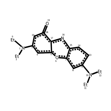 CCN(CC)c1cc2oc3cc(N(CC)CC)ccc3nc-2c(=O)c1